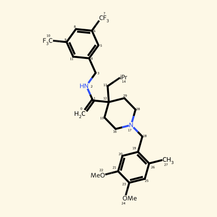 C=C(NCc1cc(C(F)(F)F)cc(C(F)(F)F)c1)C1(CC(C)C)CCN(Cc2cc(OC)c(OC)cc2C)CC1